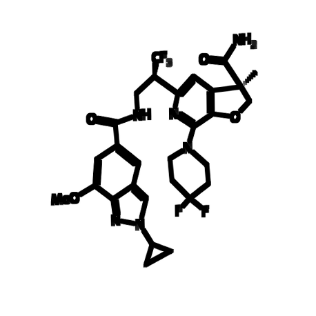 COc1cc(C(=O)NC[C@H](c2cc3c(c(N4CCC(F)(F)CC4)n2)OC[C@]3(C)C(N)=O)C(F)(F)F)cc2cn(C3CC3)nc12